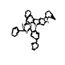 c1ccc(-c2ccc(-n3c4ccccc4c4cc5c(cc43)sc3ccccc35)c(-c3nc(-c4ccccc4)nc(-c4ccccc4)n3)c2)cc1